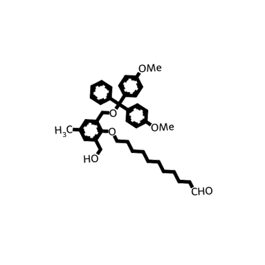 COc1ccc(C(OCc2cc(C)cc(CO)c2OCCCCCCCCCCC=O)(c2ccccc2)c2ccc(OC)cc2)cc1